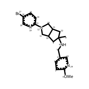 COc1ccc(CNC2(C)CC3CN(c4ccc(Br)cn4)CC3C2)cn1